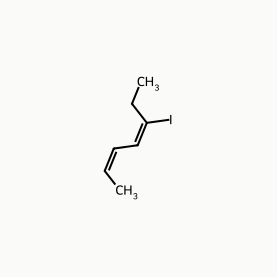 C/C=C\C=C(\I)CC